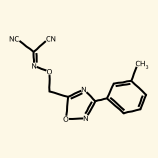 Cc1cccc(-c2noc(CON=C(C#N)C#N)n2)c1